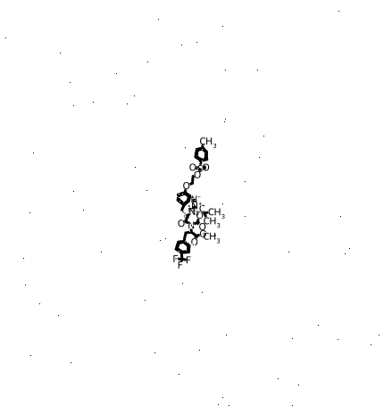 COC(=O)C(Cc1ccc(C(F)(F)F)cc1)N(C(=O)OC(C)(C)C)C(=O)[C@H](Cc1ccc(OCCOS(=O)(=O)c2ccc(C)cc2)cc1)N=[N+]=[N-]